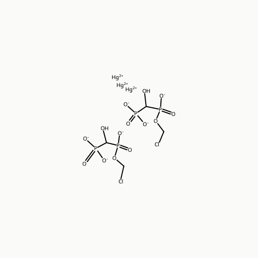 O=P([O-])([O-])C(O)P(=O)([O-])OCCl.O=P([O-])([O-])C(O)P(=O)([O-])OCCl.[Hg+2].[Hg+2].[Hg+2]